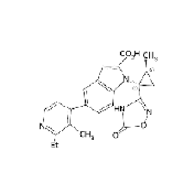 CCc1nccc(-c2ccc3c(c2)cc(C(=O)O)n3[C@@]2(c3noc(=O)[nH]3)C[C@@H]2C)c1C